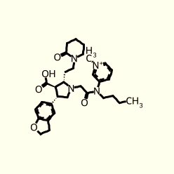 CCCCN(C(=O)CN1C[C@H](c2ccc3c(c2)CCO3)[C@@H](C(=O)O)[C@@H]1CCN1CCCCC1=O)c1ccc[n+](C)c1